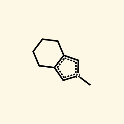 Cn1cc2c(c1)CCCC2